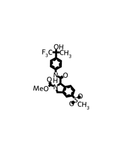 COC(=O)N1Cc2cc(S(C)(=O)=O)ccc2C1C(=O)Nc1ccc(C(C)(O)C(F)(F)F)cc1